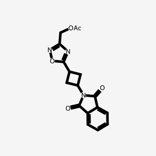 CC(=O)OCc1noc(C2CC(N3C(=O)c4ccccc4C3=O)C2)n1